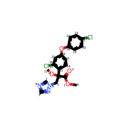 COC(=O)C(Cn1cncn1)(OC)c1ccc(Oc2ccc(Cl)cc2)cc1Cl